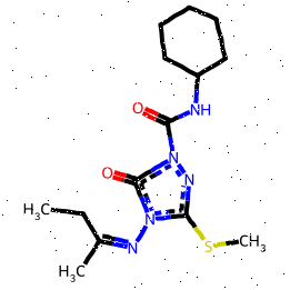 CCC(C)=Nn1c(SC)nn(C(=O)NC2CCCCC2)c1=O